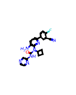 N#Cc1cc(-c2ccc(N)c(N(C(=O)Nc3cnccn3)C3CCC3)n2)ccc1F